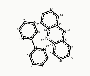 c1ccc(-c2ccccn2)nc1.c1ccc2nc3ccccc3nc2c1